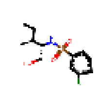 CC[C@H](C)[C@@H](CO)NS(=O)(=O)c1cccc(Cl)c1